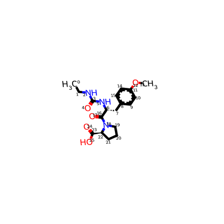 CCNC(=O)N[C@H](Cc1ccc(OC)cc1)C(=O)N1CCC[C@H]1C(=O)O